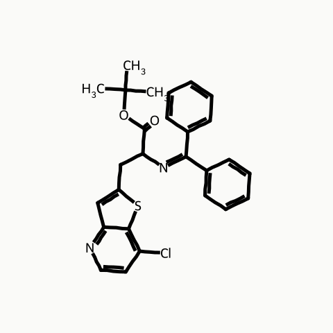 CC(C)(C)OC(=O)C(Cc1cc2nccc(Cl)c2s1)N=C(c1ccccc1)c1ccccc1